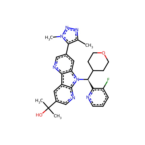 Cc1nnn(C)c1-c1cnc2c3cc(C(C)(C)O)cnc3n([C@H](c3ncccc3F)C3CCOCC3)c2c1